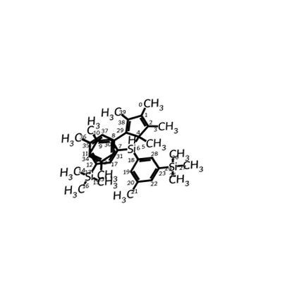 CC1=C(C)C(C)([SiH](c2cc(C)cc([Si](C)(C)C)c2)c2cc(C)cc([Si](C)(C)C)c2)C(c2cc(C)cc(C)c2)=C1C